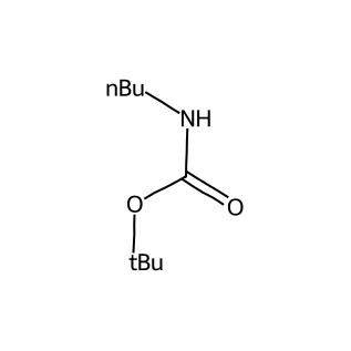 C[CH]CCNC(=O)OC(C)(C)C